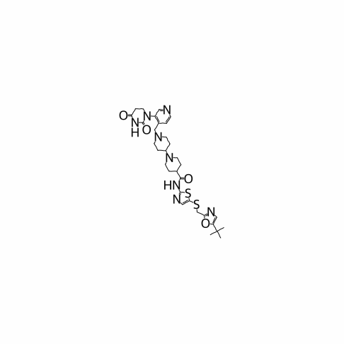 CC(C)(C)c1cnc(CSc2cnc(NC(=O)C3CCN(C4CCN(Cc5ccncc5N5CCC(=O)NC5=O)CC4)CC3)s2)o1